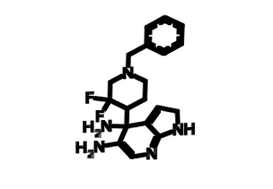 NC1=CN=C2NCC=C2C1(N)C1CCN(Cc2ccccc2)CC1(F)F